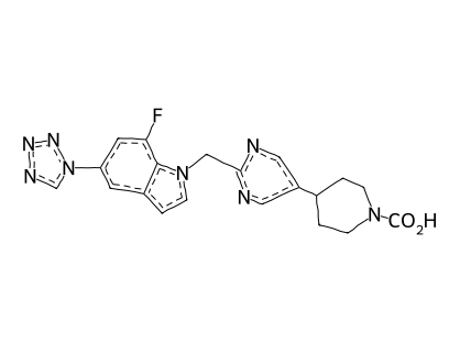 O=C(O)N1CCC(c2cnc(Cn3ccc4cc(-n5cnnn5)cc(F)c43)nc2)CC1